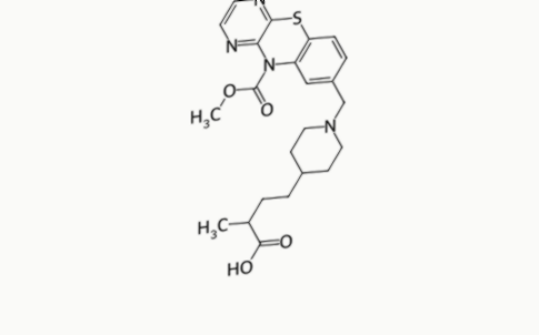 COC(=O)N1c2cc(CN3CCC(CCC(C)C(=O)O)CC3)ccc2Sc2nccnc21